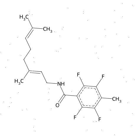 CC(C)=CCC/C(C)=C/CNC(=O)c1c(F)c(F)c(C)c(F)c1F